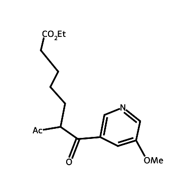 CCOC(=O)CCCCC(C(C)=O)C(=O)c1cncc(OC)c1